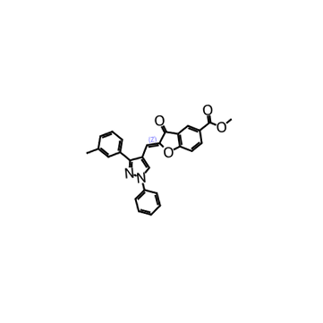 COC(=O)c1ccc2c(c1)C(=O)/C(=C/c1cn(-c3ccccc3)nc1-c1cccc(C)c1)O2